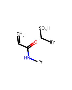 C=CC(=O)NC(C)C.CC(C)CS(=O)(=O)O